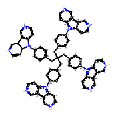 C1=CC2C(C=N1)c1cnccc1N2c1ccc(CC(Cc2ccc(-n3c4ccncc4c4cnccc43)cc2)(Cc2ccc(-n3c4ccncc4c4cnccc43)cc2)Cc2ccc(-n3c4ccncc4c4cnccc43)cc2)cc1